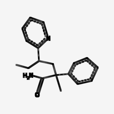 CCC(CC(C)(C(N)=O)c1ccccc1)c1ccccn1